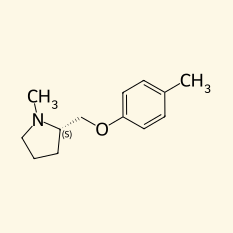 Cc1ccc(OC[C@@H]2CCCN2C)cc1